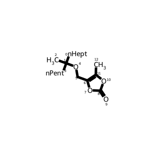 CCCCCCCC(C)(CCCCC)OCc1oc(=O)oc1C